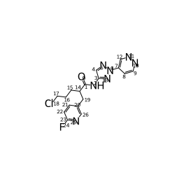 O=C(Nc1cnn(-c2ccnnc2)n1)C(CCCCl)Cc1ccc(F)nc1